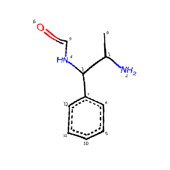 CC(N)C(NC=O)c1ccccc1